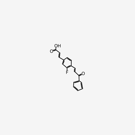 O=C(O)C=Cc1ccc(C=CC(=O)c2ccccc2)c(F)c1